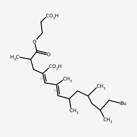 CCC(C)CC(C)CC(C)CC(C)/C=C(C)/C=C(/CC(C)C(=O)OCCC(=O)O)C(=O)O